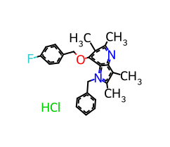 Cc1nc2c(C)c(C)n(Cc3ccccc3)c2c(OCc2ccc(F)cc2)c1C.Cl